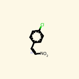 O=[N+]([O-])/C=C\c1ccc(Cl)cc1